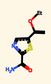 C=C(OCC)c1cnc(C(N)=O)s1